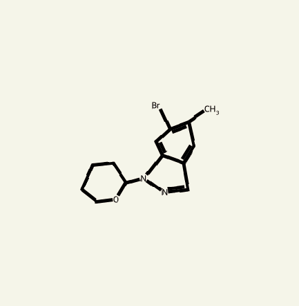 Cc1cc2cnn(C3CCCCO3)c2cc1Br